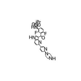 CC(C)S(=O)(=O)Nc1ccc(F)c(C(=O)c2c[nH]c3ccc(-c4ccc(N5CCNCC5)nc4)nc23)c1F